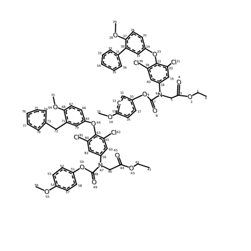 CCOC(=O)CN(C(=O)Oc1ccc(OC)cc1)c1cc(Cl)c(Oc2ccc(OC)c(-c3ccccc3)c2)c(Cl)c1.CCOC(=O)CN(C(=O)Oc1ccc(OC)cc1)c1cc(Cl)c(Oc2ccc(OC)c(Cc3ccccc3)c2)c(Cl)c1